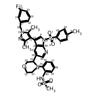 Cc1ccc(S(=O)(=O)n2cc(-c3c(C)nn(Cc4cccc(F)c4)c3C)c3cc(C4COCCN4c4ccccc4NS(C)(=O)=O)cnc32)cc1